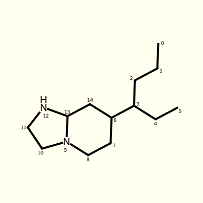 CCCC(CC)C1CCN2CCNC2C1